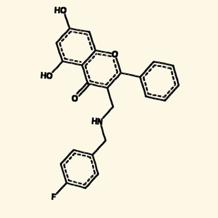 O=c1c(CNCc2ccc(F)cc2)c(-c2ccccc2)oc2cc(O)cc(O)c12